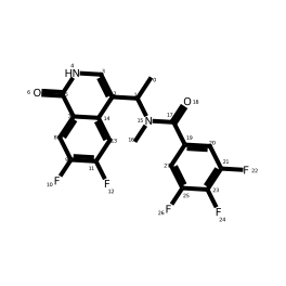 CC(c1c[nH]c(=O)c2cc(F)c(F)cc12)N(C)C(=O)c1cc(F)c(F)c(F)c1